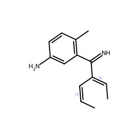 C/C=C\C(=C/C)C(=N)c1cc(N)ccc1C